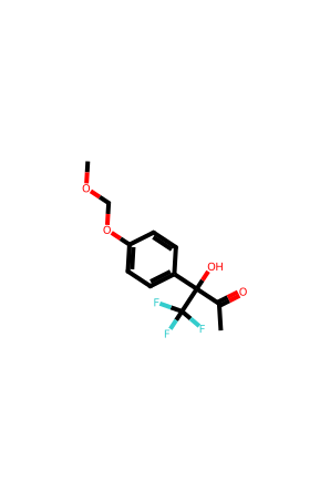 COCOc1ccc(C(O)(C(C)=O)C(F)(F)F)cc1